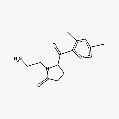 Cc1ccc(C(=O)C2CCC(=O)N2CCN)c(C)c1